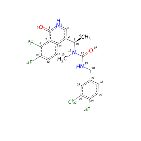 C[C@H](c1c[nH]c(=O)c2c(F)c(F)ccc12)N(C)C(=O)NCc1ccc(F)c(Cl)c1